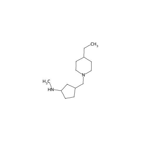 CCC1CCN(CC2CCC(NC)C2)CC1